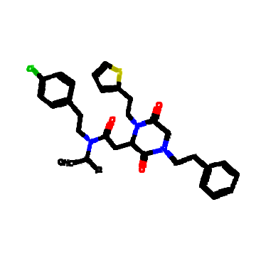 CCC(C=O)N(CCc1ccc(Cl)cc1)C(=O)CC1C(=O)N(CCc2ccccc2)CC(=O)N1CCc1cccs1